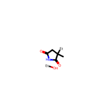 CCC1(C)CC(=O)NC1=O.CCO